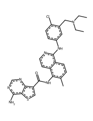 CCN(CC)Cc1cc(Nc2nccc3c(NC(=O)c4csc5c(N)ncnc45)c(C)ccc23)ccc1Cl